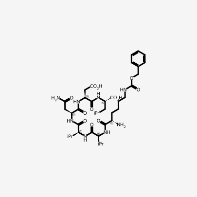 CC(C)C[C@H](NC(=O)[C@H](CC(=O)O)NC(=O)[C@H](CC(N)=O)NC(=O)[C@@H](NC(=O)[C@@H](NC(=O)[C@@H](N)CCCCNC(=O)OCc1ccccc1)C(C)C)C(C)C)C(=O)O